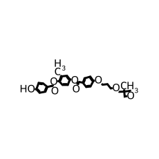 Cc1cc(OC(=O)c2ccc(OCCCOCC3(C)COC3)cc2)ccc1OC(=O)c1ccc(O)cc1